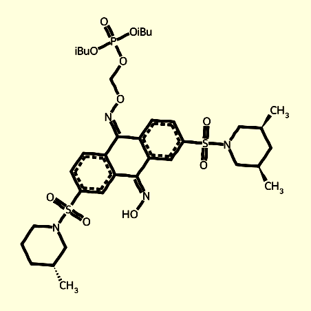 CC(C)COP(=O)(OCO/N=C1/c2ccc(S(=O)(=O)N3CCC[C@@H](C)C3)cc2/C(=N\O)c2cc(S(=O)(=O)N3C[C@H](C)C[C@H](C)C3)ccc21)OCC(C)C